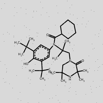 CC1(C)CN(CC(C)(C)N(C(=O)C2CCCCC2)c2cc(C(C)(C)C)c(O)c(C(C)(C)C)c2)C(=O)C(C)(C)N1